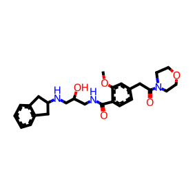 COc1cc(CC(=O)N2CCOCC2)ccc1C(=O)NCC(O)CNC1Cc2ccccc2C1